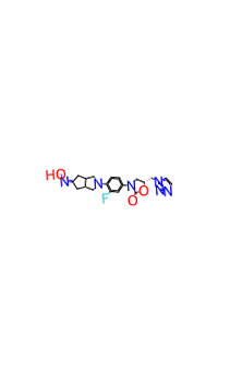 O=C1O[C@@H](Cn2ccnn2)CN1c1ccc(N2CC3CC(=NO)CC3C2)c(F)c1